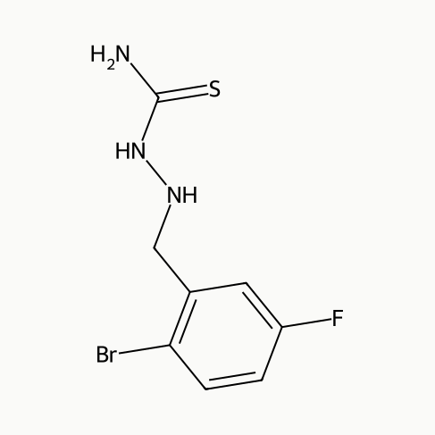 NC(=S)NNCc1cc(F)ccc1Br